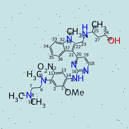 COc1cc(N(C)CCN(C)C)c([N+](=O)[O-])cc1Nc1nccc(-c2c(CNC(C)CCO)n(C)c3ccccc23)n1